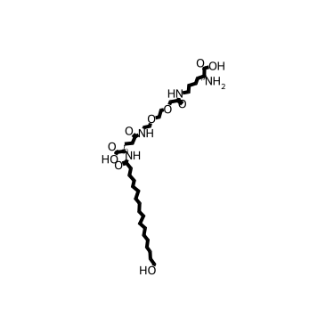 N[C@@H](CCCCNC(=O)COCCOCCNC(=O)CC[C@H](NC(=O)CCCCCCCCCCCCCCCCCO)C(=O)O)C(=O)O